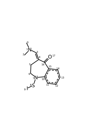 CN(C)/C=C1\CCN(SI)c2ccccc2C1=O